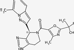 Cc1nc(C(C)(C)F)oc1C(=O)N1CCc2[nH]cnc2[C@H]1c1cc2cccc(C(F)(F)F)n2n1